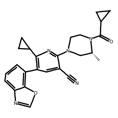 C[C@@H]1CN(c2nc(C3CC3)c(-c3cccc4ncoc34)cc2C#N)CCN1C(=O)C1CC1